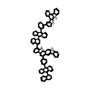 c1cc(-c2ccc3sc4c5sc6ccccc6c5c5ccccc5c4c3c2)cc(-c2c3ccccc3c(-c3ccc(-c4cccc5c4sc4c6cc7sc8ccccc8c7cc6c(-c6ccc(-c7c8ccccc8c(-c8cccc9ccccc89)c8ccccc78)cc6)cc54)c4ccccc34)c3ccccc23)c1